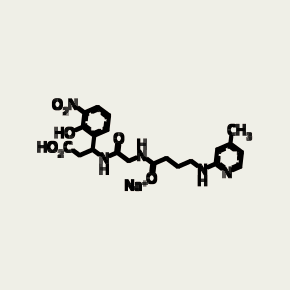 Cc1ccnc(NCCCC(=O)NCC(=O)NC(CC(=O)O)c2cccc([N+](=O)[O-])c2O)c1.[Na+]